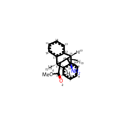 COC(=O)[C@H]1[C@H]2c3ccccc3[C@@H](c3ccccc32)[C@@H]1N